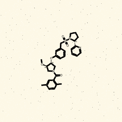 CO[C@@H]1CN(C(=O)c2cc(C)ccc2C)C[C@H]1Oc1cccc(CS(=O)(=O)N2CCC[C@@H]2c2ccccn2)c1